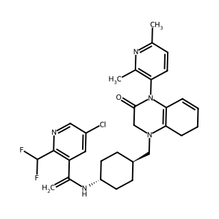 C=C(N[C@H]1CC[C@H](CN2CC(=O)N(c3ccc(C)nc3C)C3=C2CCC=C3)CC1)c1cc(Cl)cnc1C(F)F